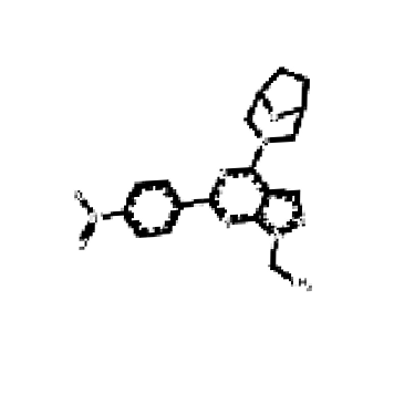 CCn1ncc2c(N3CC4CCC(C3)O4)nc(-c3ccc([N+](=O)[O-])cc3)nc21